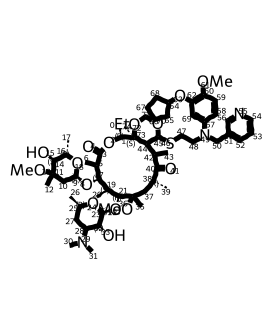 CC[C@H]1OC(=O)C(C)[C@@H](O[C@H]2CC(C)(OC)[C@@H](O)[C@H](C)O2)[C@H](C)[C@@H](O[C@@H]2O[C@H](C)CC(N(C)C)[C@H]2O)C(C)(OC)C[C@@H](C)C(=O)C(C)C2C(SCCN(Cc3cccnc3)c3ccc(OC)c(OC4CCCC4)c3)OCO[C@@]21C